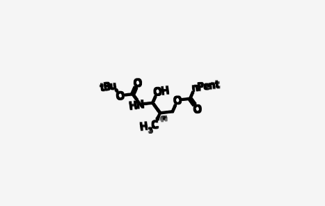 CCCCCC(=O)OC[C@@H](C)C(O)NC(=O)OC(C)(C)C